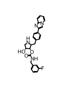 O=C(NCc1cccc(F)c1)OC1C(O)CNC1Cc1ccc(-c2cn3ccccc3n2)cc1